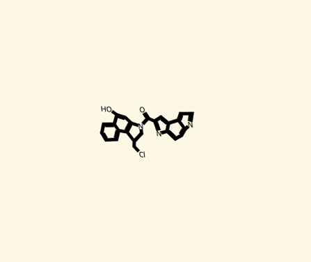 O=C(C1=Nc2ccc3c(c2=C1)=CC=N3)N1CC(CCl)c2c1cc(O)c1ccccc21